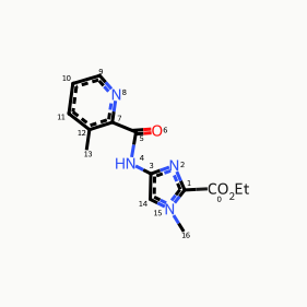 CCOC(=O)c1nc(NC(=O)c2ncccc2C)cn1C